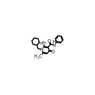 CCCc1c(C(=O)Nc2ccccc2)c(=O)cc(C)n1CC1CCCCC1